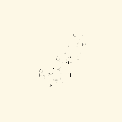 O=C(N[C@H]1CC[C@H](C(F)(F)F)CC1)c1cc(NO)c(F)cc1Cl